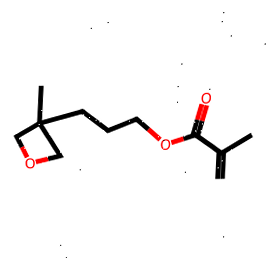 C=C(C)C(=O)OCCCC1(C)COC1